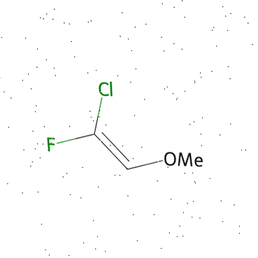 COC=C(F)Cl